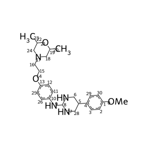 COc1ccc(C2CNC(Nc3ccc(OCCN4CC(C)OC(C)C4)cc3)NC2)cc1